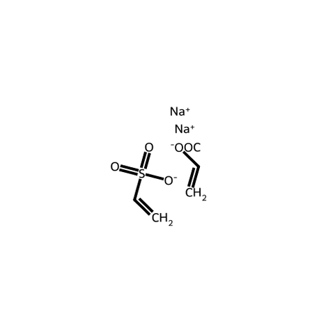 C=CC(=O)[O-].C=CS(=O)(=O)[O-].[Na+].[Na+]